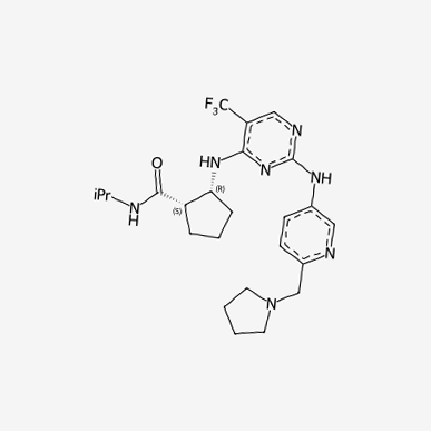 CC(C)NC(=O)[C@H]1CCC[C@H]1Nc1nc(Nc2ccc(CN3CCCC3)nc2)ncc1C(F)(F)F